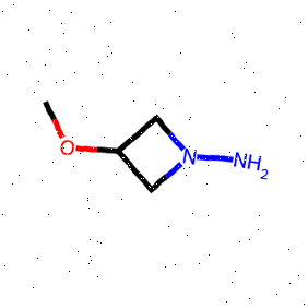 COC1CN(N)C1